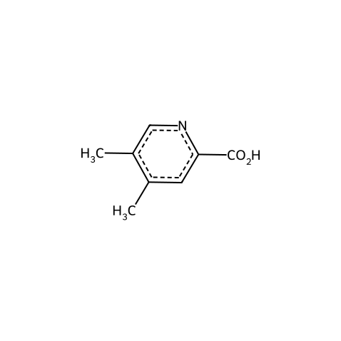 Cc1cnc(C(=O)O)cc1C